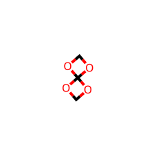 C1OC2(O1)OCO2